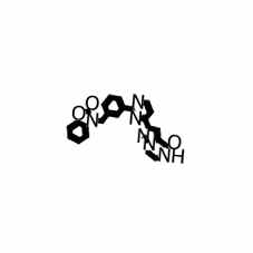 O=C1NCCn2nc(-c3ccnc(-c4cccc(Cn5c(=O)oc6ccccc65)c4)n3)cc21